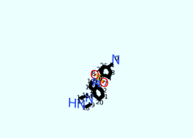 N#Cc1ccc(S(=O)(=O)n2ccc3c(N4CCNCC4)cccc32)cc1